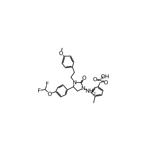 COc1ccc(CCN2C(=O)N(N)CC2c2ccc(OC(F)F)cc2)cc1.Cc1ccc(S(=O)(=O)O)cc1